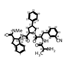 CNC(=O)C1Cc2ccccc2C1NC(=O)C1CC(c2ccccc2)CN1C(=O)C(Cc1cccc(C#N)c1)NC(=O)C(C)N